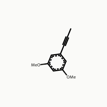 CC#Cc1cc(OC)cc(OC)c1